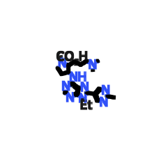 CCn1c(-c2cnc(C)nc2)nc2c(NC3CCN(C(=O)O)C3CCCN(C)C)ncnc21